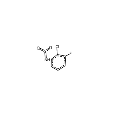 Fc1ccccc1Cl.N=S(=O)=O